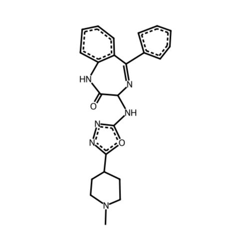 CN1CCC(c2nnc(NC3N=C(c4ccccc4)c4ccccc4NC3=O)o2)CC1